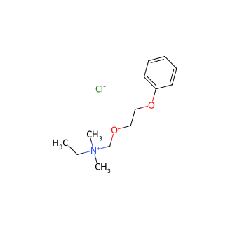 CC[N+](C)(C)COCCOc1ccccc1.[Cl-]